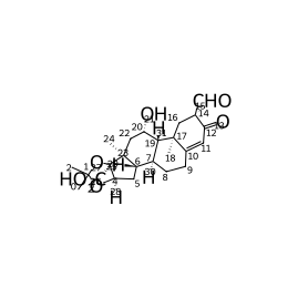 CC1(C)O[C@@H]2C[C@H]3[C@@H]4CCC5=CC(=O)C(C=O)C[C@]5(C)[C@H]4[C@@H](O)C[C@]3(C)[C@]2(C(=O)O)O1